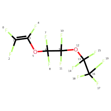 FC(F)=C(F)OC(F)(F)C(F)(F)OC(F)(F)C(F)(F)F